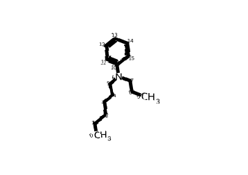 CCCCCCN(CCC)c1ccccc1